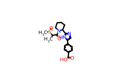 CC(C(=O)N1CCCCC1c1ncc(-c2ccc(C(=O)O)cc2)[nH]1)[S+](C)[O-]